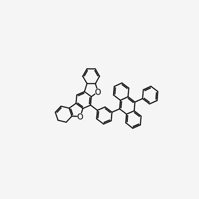 C1=CC2Oc3c(cc4c5c(oc4c3-c3cccc(-c4c6ccccc6c(-c6ccccc6)c6ccccc46)c3)CCC=C5)C2C=C1